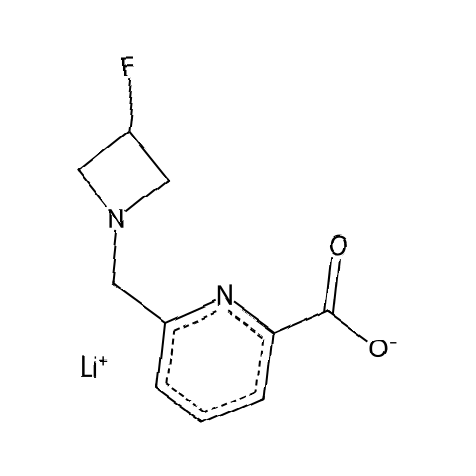 O=C([O-])c1cccc(CN2CC(F)C2)n1.[Li+]